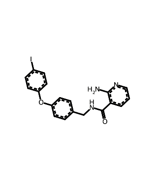 Nc1ncccc1C(=O)NCc1ccc(Oc2ccc(I)cc2)cc1